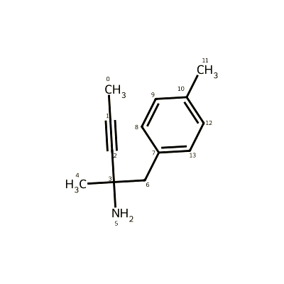 CC#CC(C)(N)Cc1ccc(C)cc1